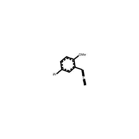 C=C=Cc1cc(C(C)C)ccc1OC